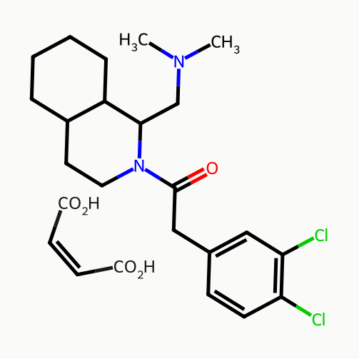 CN(C)CC1C2CCCCC2CCN1C(=O)Cc1ccc(Cl)c(Cl)c1.O=C(O)/C=C\C(=O)O